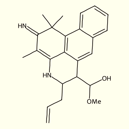 C=CCC1NC2=C(C)C(=N)C(C)(C)c3c2c(cc2ccccc32)C1C(O)OC